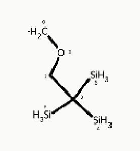 [CH2]OCC([SiH3])([SiH3])[SiH3]